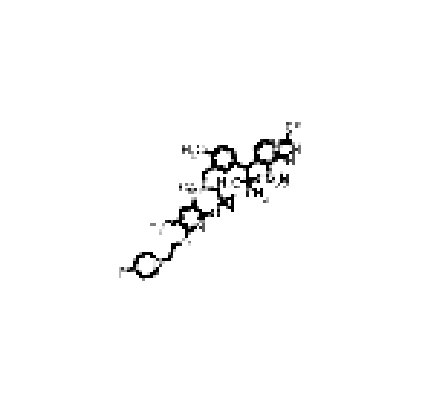 Cc1ccc(C(c2ccn3c(C(F)(F)F)nnc3c2C)C(C)(C)C(=O)O)cc1CN1CC2(CC2)Oc2nc(OCCN3CCC(F)CC3)c(C)cc2[S+]1[O-]